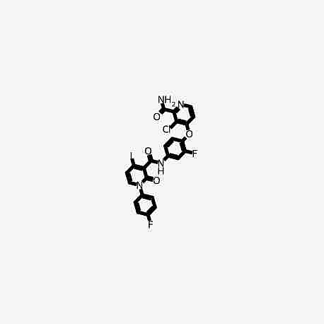 NC(=O)c1nccc(Oc2ccc(NC(=O)c3c(I)ccn(-c4ccc(F)cc4)c3=O)cc2F)c1Cl